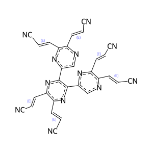 N#C/C=C/c1ncc(-c2nc(/C=C/C#N)c(/C=C/C#N)nc2-c2cnc(/C=C/C#N)c(/C=C/C#N)n2)nc1/C=C/C#N